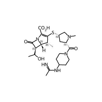 CC(=N)NC1CCN(C(=O)[C@@H]2C[C@H](SC3=C(C(=O)O)N4C(=O)[C@H](C(C)O)[C@H]4[C@H]3C)CN2C)CC1